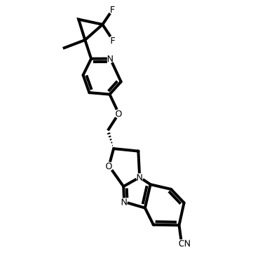 CC1(c2ccc(OC[C@@H]3Cn4c(nc5cc(C#N)ccc54)O3)cn2)CC1(F)F